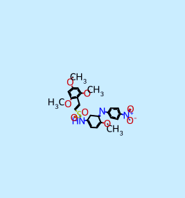 COC1=CC=C(NS(=O)(=O)C=Cc2c(OC)cc(OC)cc2OC)CC1=Nc1ccc([N+](=O)[O-])cc1